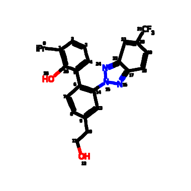 CC(C)c1cccc(-c2ccc(CCO)cc2-n2nc3ccc(C(F)(F)F)cc3n2)c1O